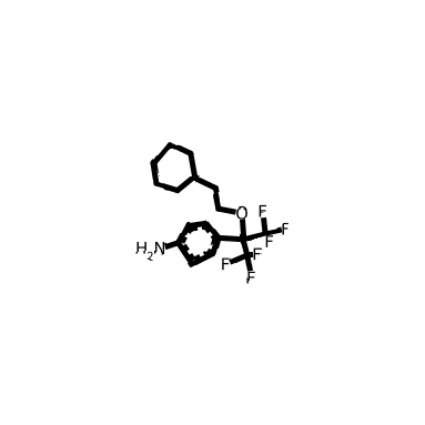 Nc1ccc(C(OCCC2CCCCC2)(C(F)(F)F)C(F)(F)F)cc1